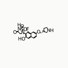 O=C1CN(c2c(O)cc3ccc(OC[C@@H]4CCNC4)cc3c2F)S(=O)(=O)N1